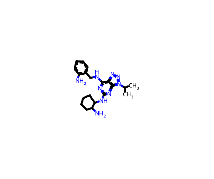 CC(C)n1nnc2c(NCc3ccccc3N)nc(NC3CCCCC3N)nc21